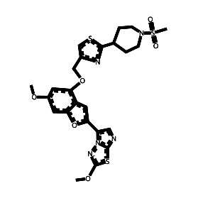 COc1cc(OCc2csc(C3CCN(S(C)(=O)=O)CC3)n2)c2cc(-c3cnc4sc(OC)nn34)oc2c1